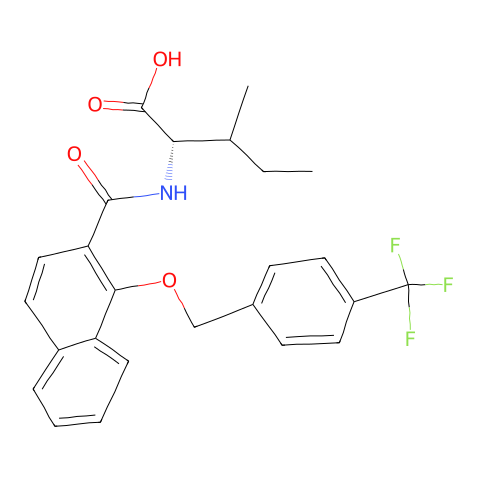 CCC(C)[C@H](NC(=O)c1ccc2ccccc2c1OCc1ccc(C(F)(F)F)cc1)C(=O)O